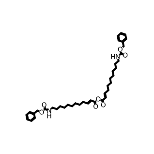 O=C(C=CCCCCCCCCCNC(=O)OCc1ccccc1)OC(=O)C=CCCCCCCCCCNC(=O)OCc1ccccc1